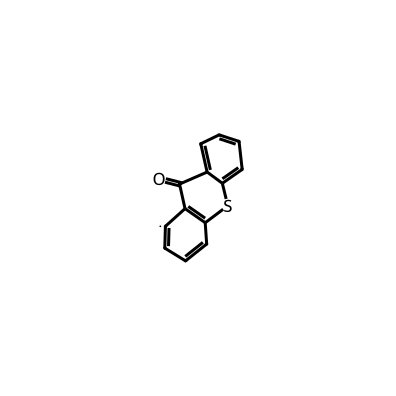 O=c1c2[c]cccc2sc2ccccc12